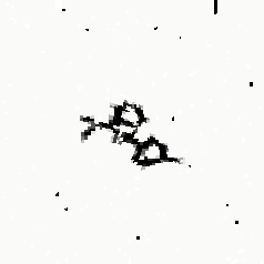 CN(C)c1nc(-c2ccc(Cl)cc2)n2ccncc12